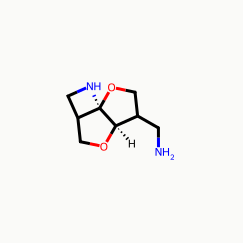 NCC1CO[C@]23NCC2CO[C@H]13